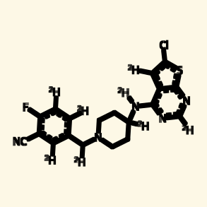 [2H]c1nc(N([2H])C2([2H])CCN(C([2H])c3c([2H])c([2H])c(F)c(C#N)c3[2H])CC2)c2c([2H])c(Cl)sc2n1